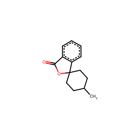 CC1CCC2(CC1)OC(=O)c1ccccc12